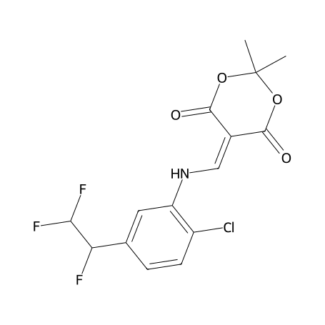 CC1(C)OC(=O)C(=CNc2cc(C(F)C(F)F)ccc2Cl)C(=O)O1